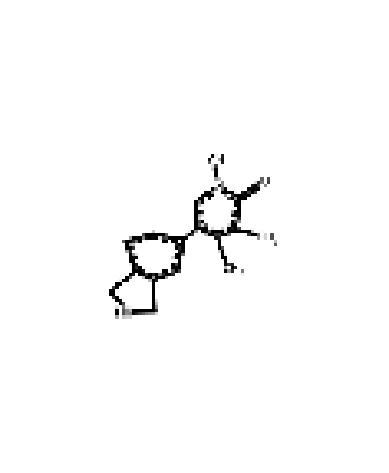 Cc1c(-c2ccc3c(c2)CNC3)cn(C)c(=O)c1C